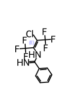 N=C(N/C(=C(/Cl)C(F)(F)F)C(F)(F)F)c1ccccc1